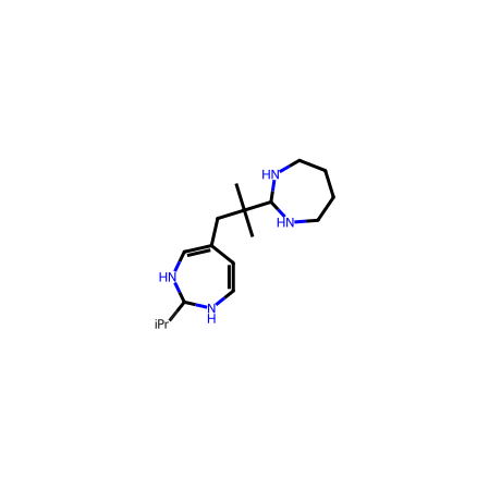 CC(C)C1NC=CC(CC(C)(C)C2NCCCCN2)=CN1